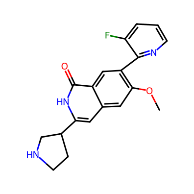 COc1cc2cc(C3CCNC3)[nH]c(=O)c2cc1-c1ncccc1F